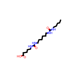 CCCCCNC(=O)NCCCCCCNC(=O)NCCCCC(=O)O